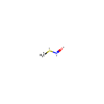 CSN=O